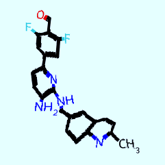 CC1=NC2C=CC(CNc3nc(-c4cc(F)c(C=O)c(F)c4)ccc3N)=CC2C=C1